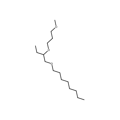 CCCCCCCCOCC(CC)OCCCOC